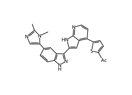 CC(=O)c1ccc(-c2ccnc3[nH]c(-c4n[nH]c5ccc(-c6cnc(C)n6C)cc45)cc23)s1